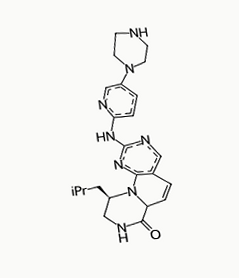 CC(C)C[C@@H]1CNC(=O)C2C=Cc3cnc(Nc4ccc(N5CCNCC5)cn4)nc3N21